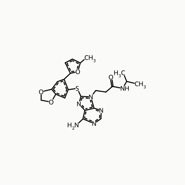 Cc1ccc(-c2cc3c(cc2Sc2nc4c(N)ncnc4n2CCC(=O)NC(C)C)OCO3)o1